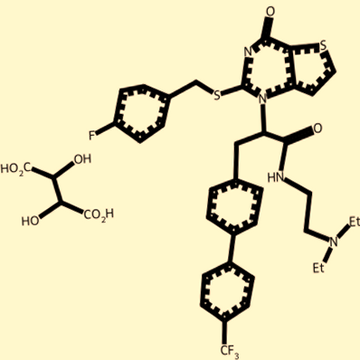 CCN(CC)CCNC(=O)C(Cc1ccc(-c2ccc(C(F)(F)F)cc2)cc1)n1c(SCc2ccc(F)cc2)nc(=O)c2sccc21.O=C(O)C(O)C(O)C(=O)O